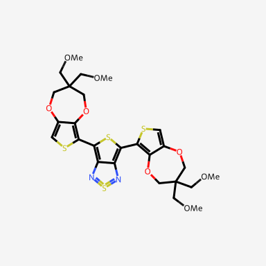 COCC1(COC)COc2csc(-c3sc(-c4scc5c4OCC(COC)(COC)CO5)c4c3N=S=N4)c2OC1